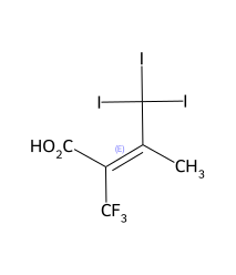 C/C(=C(/C(=O)O)C(F)(F)F)C(I)(I)I